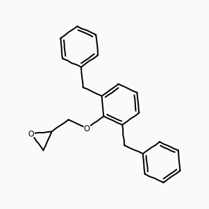 c1ccc(Cc2cccc(Cc3ccccc3)c2OCC2CO2)cc1